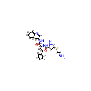 NCCSC1CNC(C(=O)NC(CCc2ccccc2)C(=O)Nc2cnc3ccccc3c2)C1